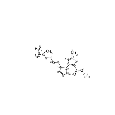 COC(=O)c1sc(N)nc1-c1nccn1COCC[Si](C)(C)C